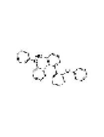 Oc1cccc(-c2ccccc2Oc2ccccc2)c1-c1ccccc1Oc1ccccc1